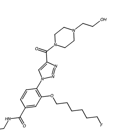 CCNC(=O)c1ccc(-n2cc(C(=O)N3CCN(CCO)CC3)nn2)c(OCCCCCCF)c1